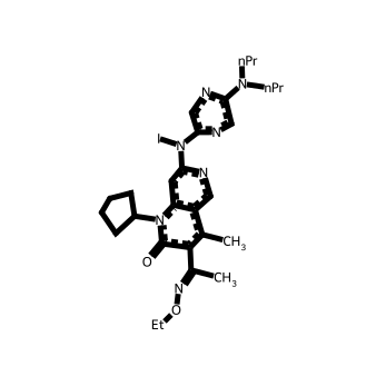 CCCN(CCC)c1cnc(N(I)c2cc3c(cn2)c(C)c(/C(C)=N/OCC)c(=O)n3C2CCCC2)cn1